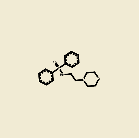 O=P(NCCN1CCOCC1)(c1ccccc1)c1ccccc1